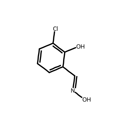 O/N=C/c1cccc(Cl)c1O